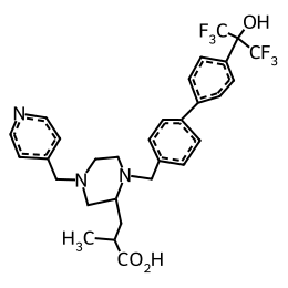 CC(CC1CN(Cc2ccncc2)CCN1Cc1ccc(-c2ccc(C(O)(C(F)(F)F)C(F)(F)F)cc2)cc1)C(=O)O